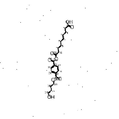 O=C(O)CCCCCCCCC(=O)OC(=O)c1ccc(C(=O)OCCCCO)cc1